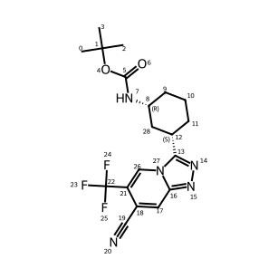 CC(C)(C)OC(=O)N[C@@H]1CCC[C@H](c2nnc3cc(C#N)c(C(F)(F)F)cn23)C1